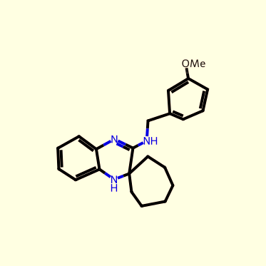 COc1cccc(CNC2=Nc3ccccc3NC23CCCCCC3)c1